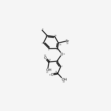 Cc1ccc(O/C(=C/C(=O)O)C(=O)O)c(Br)c1